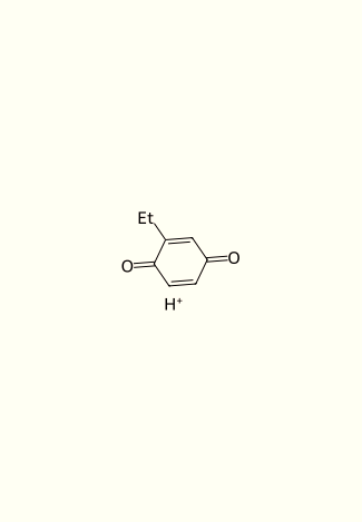 CCC1=CC(=O)C=CC1=O.[H+]